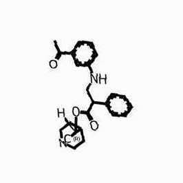 CC(=O)c1cccc(NCC(C(=O)O[C@H]2CN3CCC2CC3)c2ccccc2)c1